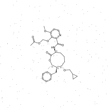 COc1ccnc(C(=O)N[C@H]2CCC[C@H](OCC3CC3)[C@@H](Cc3ccccc3)[C@H](C)OC2=O)c1OCOC(C)=O